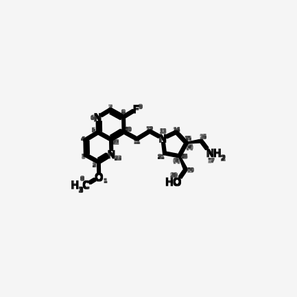 COc1ccc2ncc(F)c(CCN3C[C@@H](CN)[C@@H](CO)C3)c2n1